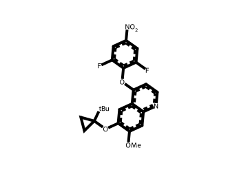 COc1cc2nccc(Oc3c(F)cc([N+](=O)[O-])cc3F)c2cc1OC1(C(C)(C)C)CC1